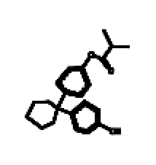 CC(C)C(=O)Oc1ccc(C2(c3ccc(O)cc3)CCCCC2)cc1